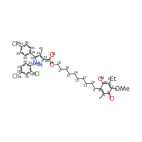 CCC1=C(OC)C(=O)C(C)=C(CCCCCCCCCCOC(=O)c2nn(-c3ccc(Cl)cc3Cl)c(-c3ccc(Cl)cc3)c2C)C1=O